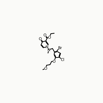 CCOC(=O)c1cn(N(C)Cc2cc(OCCCOC)c(Cl)cc2Br)ccc1=O